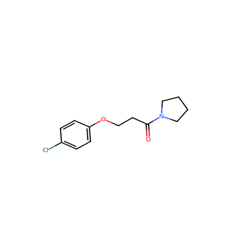 O=C(CCOc1ccc(Cl)cc1)N1CCCC1